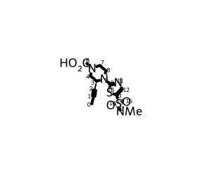 CC#C[C@H]1CN(C(=O)O)CCN1c1ncc(S(=O)(=O)NC)s1